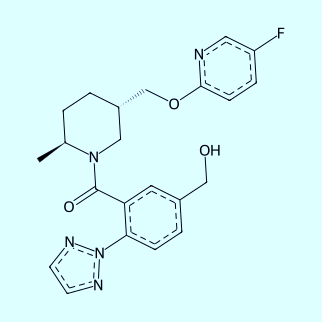 C[C@H]1CC[C@H](COc2ccc(F)cn2)CN1C(=O)c1cc(CO)ccc1-n1nccn1